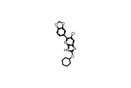 Clc1cc2nc(OC3CCCCC3)[nH]c2nc1-c1ccc2c(c1)OCO2